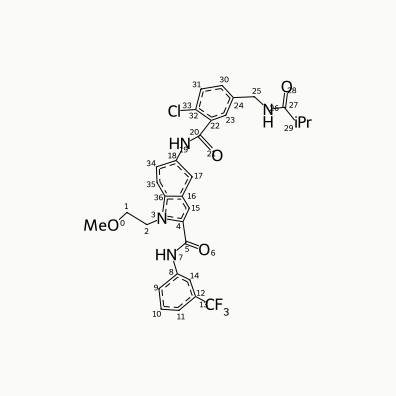 COCCn1c(C(=O)Nc2cccc(C(F)(F)F)c2)cc2cc(NC(=O)c3cc(CNC(=O)C(C)C)ccc3Cl)ccc21